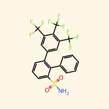 NS(=O)(=O)c1cccc(-c2cc(C(F)(F)F)c(C(F)(F)F)c(C(F)(F)F)c2)c1-c1ccccc1